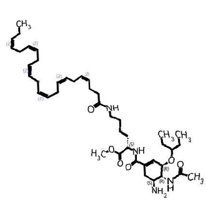 CC/C=C\C/C=C\C/C=C\C/C=C\C/C=C\C/C=C\CCC(=O)NCCCC[C@H](NC(=O)C1=C[C@@H](OC(CC)CC)[C@H](NC(C)=O)[C@@H](N)C1)C(=O)OC